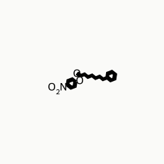 O=C(CCCCCCc1ccccc1)Oc1ccc([N+](=O)[O-])cc1